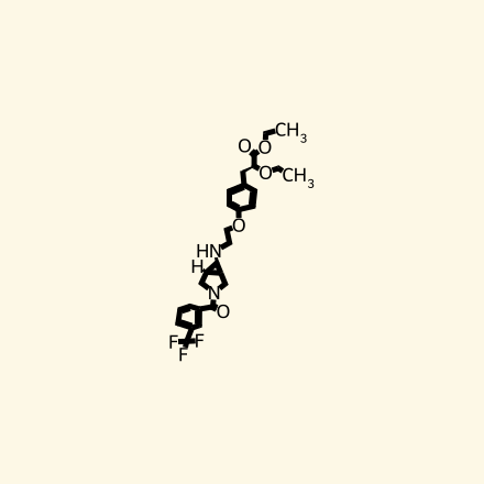 CCOC(=O)[C@H](Cc1ccc(OCCN[C@H]2C3CN(C(=O)c4cccc(C(F)(F)F)c4)C[C@@H]32)cc1)OCC